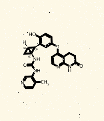 Cc1ccncc1NC(=O)N[C@@]12C[C@H]1[C@H]2c1cc(Oc2ccnc3c2CCC(=O)N3)ccc1O